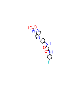 O=C(O)Nc1nccc2c1ccn2-c1ccc(NC(=O)CC(=O)Nc2ccc(F)cc2)cc1